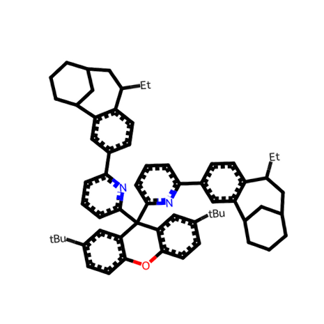 CCC1CC2CCCC(C2)c2cc(-c3cccc(C4(c5cccc(-c6ccc7c(c6)C6CCCC(CC7CC)C6)n5)c5cc(C(C)(C)C)ccc5Oc5ccc(C(C)(C)C)cc54)n3)ccc21